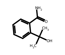 CC(C)(O)c1ccccc1C(N)=O